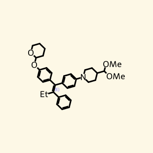 CC/C(=C(\c1ccc(OC2CCCCO2)cc1)c1ccc(N2CCC(C(OC)OC)CC2)cc1)c1ccccc1